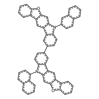 c1ccc2cc(-n3c4ccc(-c5ccc6c(c5)c5cc7c(cc5n6-c5cccc6ccccc56)oc5ccccc57)cc4c4cc5c(cc43)oc3ccccc35)ccc2c1